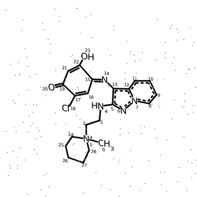 C[N+]1(CCNc2nn3ccccc3c2/N=C2\C=C(Cl)C(=O)C=C2O)CCCCC1